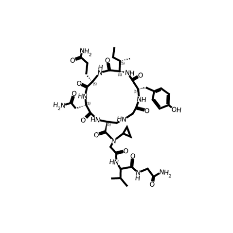 CC[C@H](C)[C@@H]1NC(=O)[C@H](Cc2ccc(O)cc2)NC(=O)CNC[C@@H](C(=O)N(CC(=O)NC(C(=O)NCC(N)=O)C(C)C)C2CC2)NC(=O)[C@H](CC(N)=O)NC(=O)[C@H](CCC(N)=O)NC1=O